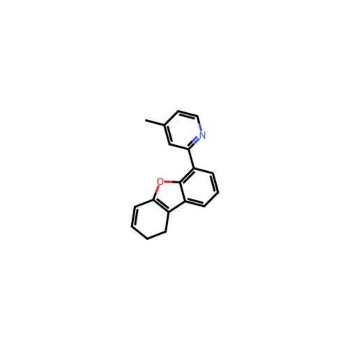 Cc1ccnc(-c2cccc3c4c(oc23)C=CCC4)c1